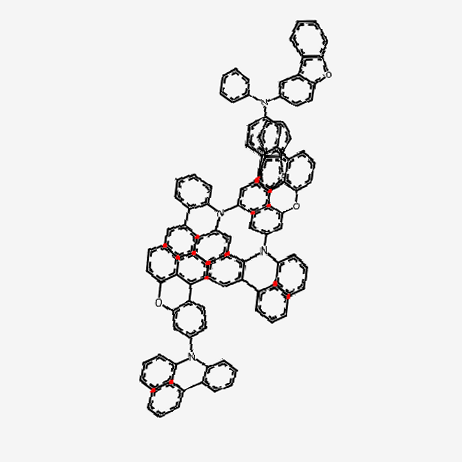 c1ccc(-c2ccccc2N(c2ccccc2)c2ccc3c(c2)Oc2cccc4c2c-3cc2ccc(N(c3ccc5sc6ccccc6c5c3)c3ccccc3-c3cccc(-c5ccc(-c6ccccc6)c(N(c6ccccc6)c6ccc7c(c6)Oc6cccc8c6c-7cc6ccc(N(c7ccccc7)c7ccc9oc%10ccccc%10c9c7)cc68)c5)c3)cc24)cc1